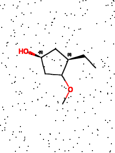 CC[C@@H]1C[C@H](O)CC1OC